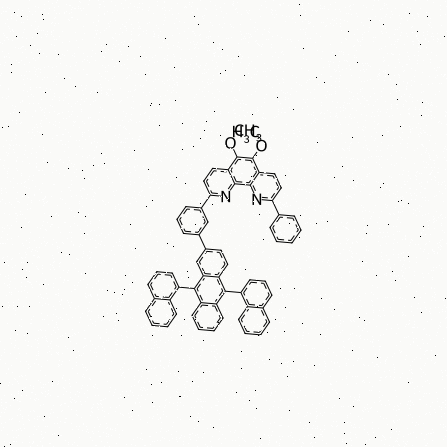 COc1c(OC)c2ccc(-c3cccc(-c4ccc5c(-c6cccc7ccccc67)c6ccccc6c(-c6cccc7ccccc67)c5c4)c3)nc2c2nc(-c3ccccc3)ccc12